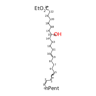 CCCCC/C=C\C=C=CCCC/C=C/CCCCC(O)CCCCCCC(=O)OCC